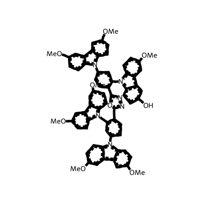 COc1ccc2c(c1)c1cc(OC)ccc1n2-c1ccc(-c2nnc(-c3ccc(-n4c5ccc(OC)cc5c5cc(OC)ccc54)cc3-n3c4ccc(OC)cc4c4cc(OC)ccc43)o2)c(-n2c3ccc(O)cc3c3cc(OC)ccc32)c1